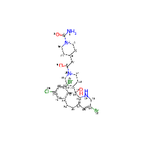 NC(=O)N1CCC(CC(=O)N2CCC(C3(O)C4=C(C=C(Br)CN4)CCc4cc(Cl)cc(Br)c43)CC2)CC1